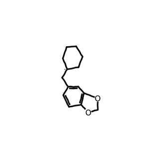 c1cc2c(cc1C[C]1CCCCC1)OCO2